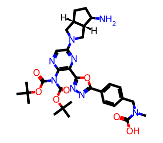 CN(Cc1ccc(-c2nnc(-c3nc(N4C[C@@H]5CCC(N)[C@@H]5C4)cnc3N(C(=O)OC(C)(C)C)C(=O)OC(C)(C)C)o2)cc1)C(=O)O